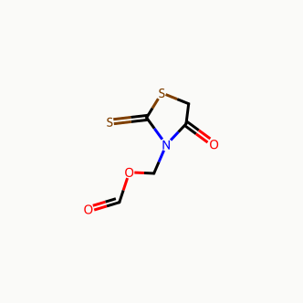 O=COCN1C(=O)CSC1=S